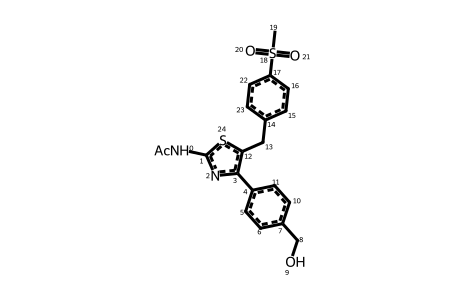 CC(=O)Nc1nc(-c2ccc(CO)cc2)c(Cc2ccc(S(C)(=O)=O)cc2)s1